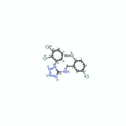 COc1ccc(Cl)cc1CNc1nnnn1-c1cccc(Cl)c1Cl